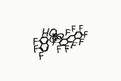 OB(Oc1ccc(F)c2c(F)c(F)ccc12)Oc1c(F)c(F)c(F)c2c(F)c3c(F)c(F)c(F)c(F)c3c(F)c12